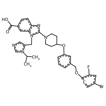 CC(C)n1cncc1Cn1c(N2CCC(Oc3cccc(COc4ccc(Br)cc4F)c3)CC2)nc2ccc(C(=O)O)cc21